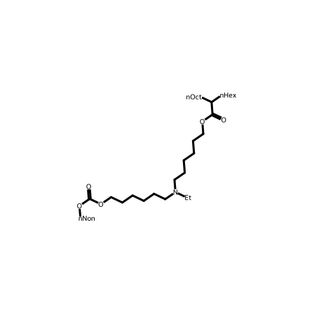 CCCCCCCCCOC(=O)OCCCCCCN(CC)CCCCCCOC(=O)C(CCCCCC)CCCCCCCC